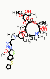 CC[C@H]1OC(=O)[C@H](C)[C@@H](O[C@H]2C[C@@](C)(OC)[C@@H](O)[C@H](C)O2)[C@H](C)[C@@H](O[C@H]2C[C@@H](N(C)CCc3cn([C@H](CF)[C@H](OC)c4ccc(SC5CCCC5)cc4)nn3)C[C@@H](C)O2)[C@](C)(O)C[C@@H](C)CN(C)[C@H](C)[C@@H](O)[C@]1(C)O